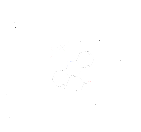 COC(=O)c1c2ccccc2nc2ccccc12.O=S(=O)(O)C(F)(F)F